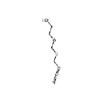 [N-]=[N+]=NCOCOCCO